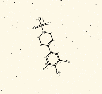 CS(=O)(=O)N1CC=C(c2cc(F)c(O)c(F)c2)CC1